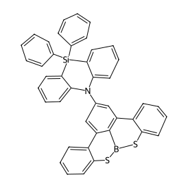 c1ccc([Si]2(c3ccccc3)c3ccccc3N(c3cc4c5c(c3)-c3ccccc3SB5Sc3ccccc3-4)c3ccccc32)cc1